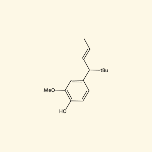 C/C=C/C(c1ccc(O)c(OC)c1)C(C)(C)C